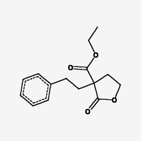 CCOC(=O)C1(CCc2ccccc2)CCOC1=O